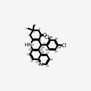 CC1(C)CC(=O)C2=C(C1)Nc1ccc3ncccc3c1C2c1ccc(Cl)cc1Cl